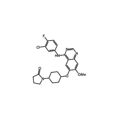 COc1cc2ncnc(Nc3ccc(F)c(Cl)c3)c2cc1OC1CCC(N2CCCC2=O)CC1